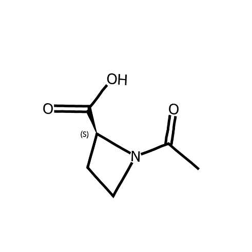 CC(=O)N1CC[C@H]1C(=O)O